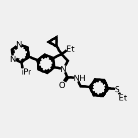 CCSc1ccc(CNC(=O)N2CC(CC)(C3CC3)c3cc(-c4cncnc4C(C)C)ccc32)cc1